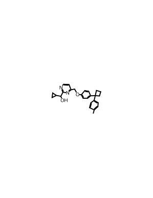 Cc1ccc(C2(c3ccc(OCc4ccnc(C(O)C5CC5)n4)cc3)CCC2)cc1